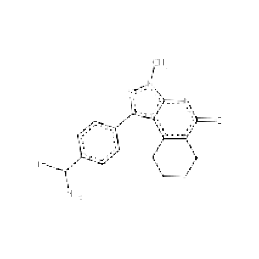 CC(C)C(N)c1ccc(-c2nn(C)c3[nH]c(=O)c4c(c23)CCCC4)cc1